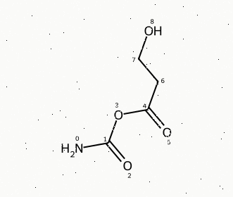 NC(=O)OC(=O)[CH]CO